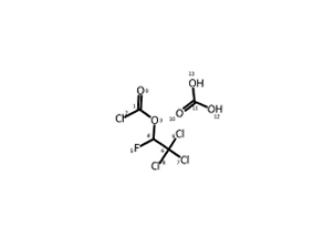 O=C(Cl)OC(F)C(Cl)(Cl)Cl.O=C(O)O